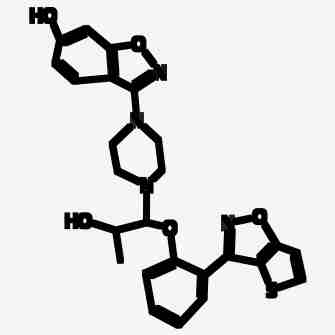 CC(O)C(Oc1ccccc1-c1noc2ccsc12)N1CCN(c2noc3cc(O)ccc23)CC1